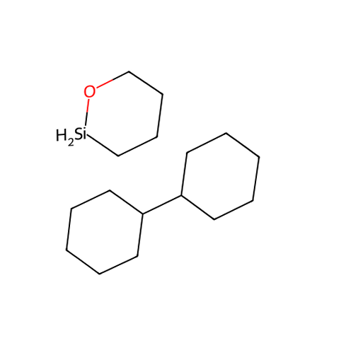 C1CCC(C2CCCCC2)CC1.C1CC[SiH2]OC1